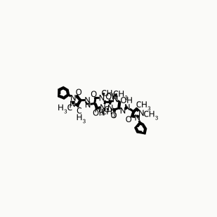 Cc1c(N=NC2=C(O)N(C)C(C3(O)N(C)C(=O)C(N=Nc4c(C)n(C)n(-c5ccccc5)c4=O)=C(O)N3C)N(C)C2=O)c(=O)n(-c2ccccc2)n1C